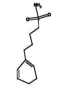 NS(=O)(=O)CCCCC1=CCCC=C1